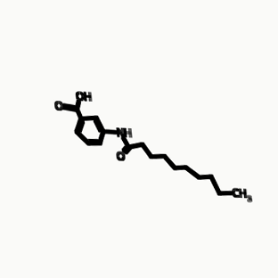 CCCCCCCCCC(=O)Nc1cccc(C(=O)O)c1